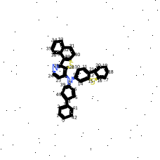 c1ccc(-c2ccc(N(c3ccc4c(c3)sc3ccccc34)c3ccnc4c3sc3ccc5ccccc5c34)cc2)cc1